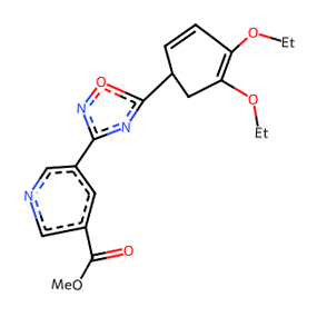 CCOC1=C(OCC)CC(c2nc(-c3cncc(C(=O)OC)c3)no2)C=C1